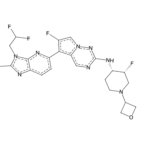 Cc1nc2ccc(-c3c(F)cn4nc(N[C@H]5CCN(C6COC6)C[C@H]5F)ncc34)nc2n1CC(F)F